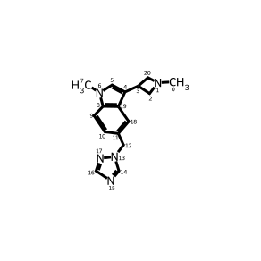 CN1CC(c2cn(C)c3ccc(Cn4cncn4)cc23)C1